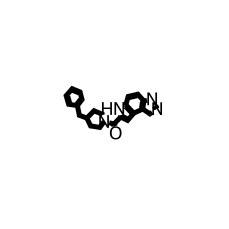 O=C(c1cc2c3c(ccc2[nH]1)N=NC3)N1CCC(Cc2ccccc2)CC1